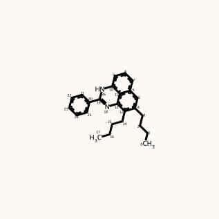 CCCCc1cc2cccc3c2c(c1CCCC)N=C(c1ccccc1)N3